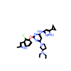 CCN(CC)C1CCN(c2cc(Nc3cc(C4CC4)[nH]n3)nc(Oc3ccc4[nH]c(C)cc4c3F)n2)C1